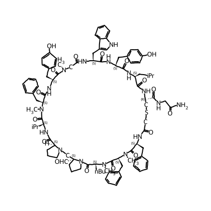 CCCC[C@H]1C(=O)N2CCC[C@@]2(C=O)CN2CCC[C@H]2C(=O)N[C@@H](C(C)C)C(=O)N(C)[C@@H](Cc2ccccc2)C(=O)N[C@@H](Cc2ccc(O)cc2)C(=O)N(C)CC(=O)N[C@@H](Cc2c[nH]c3ccccc23)C(=O)N[C@@H](Cc2ccc(O)cc2)C(=O)N[C@@H](CC(C)C)C(=O)N[C@H](C(=O)NCC(N)=O)CSCC(=O)N[C@@H](Cc2ccccc2)C(=O)N(C)[C@@H](Cc2ccccc2)C(=O)N1C